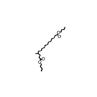 CCCCOC(=O)CCCCCCCCCCCC(C)CCC(=O)OCCCC